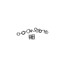 Cl.Cl.Cl.O=C(CCN1CCC(c2ccc(Cl)cc2)CC1)Cc1ccc(CN2CCCC2)cn1